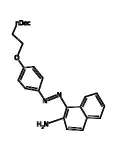 CCCCCCCCCCCCOc1ccc(N=Nc2c(N)ccc3ccccc23)cc1